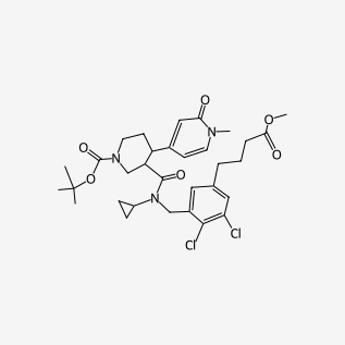 COC(=O)CCCc1cc(Cl)c(Cl)c(CN(C(=O)C2CN(C(=O)OC(C)(C)C)CCC2c2ccn(C)c(=O)c2)C2CC2)c1